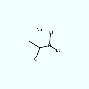 CCN(CC)C(C)[O-].[Na+]